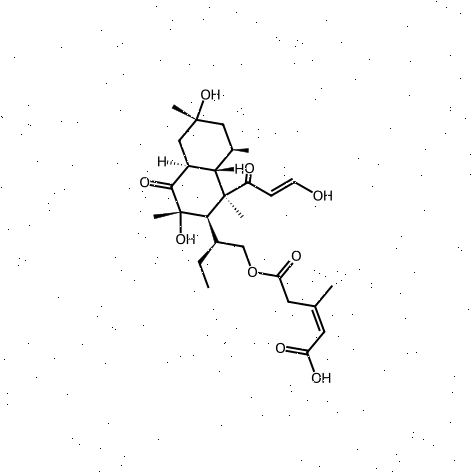 CC[C@H](COC(=O)C/C(C)=C\C(=O)O)[C@@H]1[C@](C)(C(=O)/C=C/O)[C@H]2[C@H](C)C[C@@](C)(O)C[C@@H]2C(=O)[C@@]1(C)O